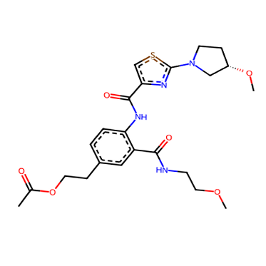 COCCNC(=O)c1cc(CCOC(C)=O)ccc1NC(=O)c1csc(N2CC[C@H](OC)C2)n1